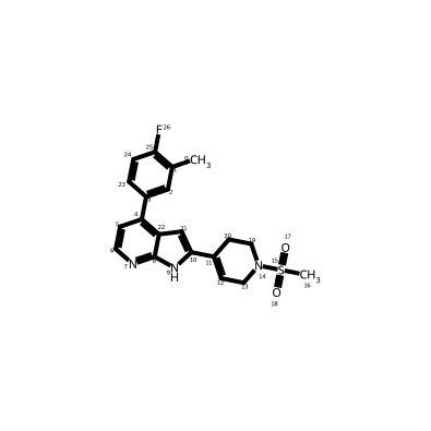 Cc1cc(-c2ccnc3[nH]c(C4=CCN(S(C)(=O)=O)CC4)cc23)ccc1F